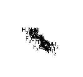 CN1CCC(Oc2cc(OC3CCN(C(=N)N)C3)c(C(F)(F)F)cc2NC(=O)c2cc(C(=O)Nc3cc(C(F)(F)F)c(O[C@@H]4CCN(C(=N)N)C4)cc3O[C@@H]3CCN(C(=N)N)C3)ncn2)C1